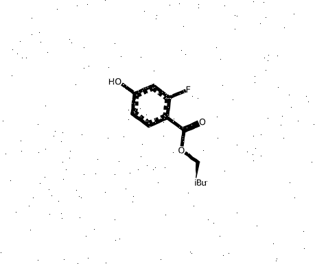 CC[C@H](C)COC(=O)c1ccc(O)cc1F